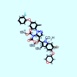 Cc1cc(Oc2ccccc2F)ccc1-n1ncc(C(=O)c2c(C(C)(C)C)c3cc(OC4CCOCC4)c(Br)cc3n2C(=O)O)c1N(C(=O)OC(C)(C)C)C(=O)OC(C)(C)C